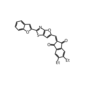 CCc1cc2c(cc1CC)C(=O)C(=Cc1cc3sc(-c4cc5ccccc5o4)nc3o1)C2=O